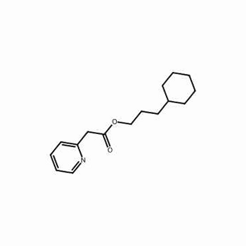 O=C(Cc1ccccn1)OCCCC1CCCCC1